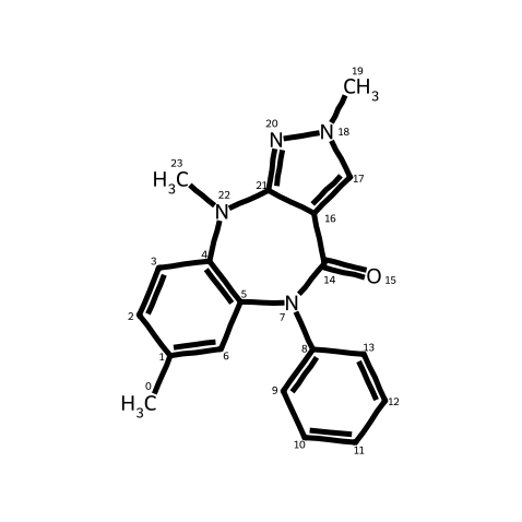 Cc1ccc2c(c1)N(c1ccccc1)C(=O)c1cn(C)nc1N2C